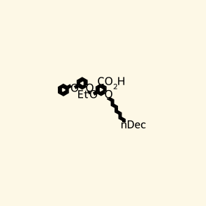 CCCCCCCCCCCCCCCCCCOc1cc(OC(CC)Oc2cccc(OCc3ccccc3)c2)cc(C(=O)O)c1